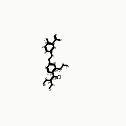 C=C(C)c1cc(CCc2ccc(C(Cl)=C(CC)CC)c(CCC)c2)ccc1C